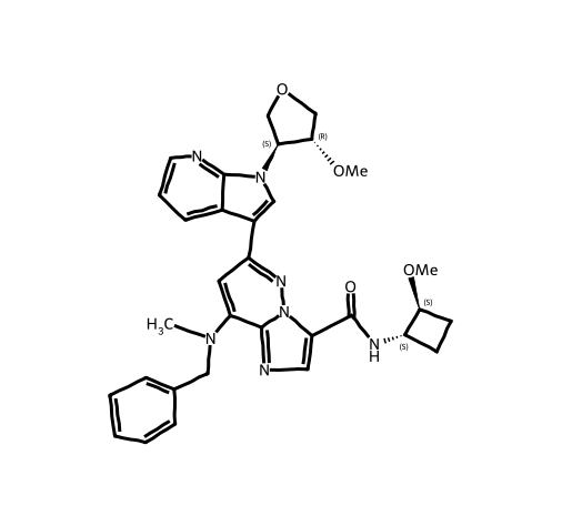 CO[C@H]1CC[C@@H]1NC(=O)c1cnc2c(N(C)Cc3ccccc3)cc(-c3cn([C@H]4COC[C@@H]4OC)c4ncccc34)nn12